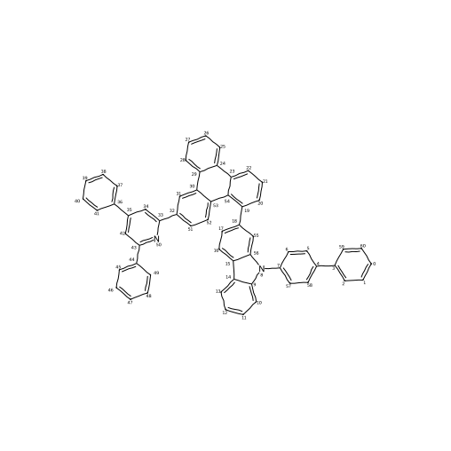 c1ccc(-c2ccc(-n3c4ccccc4c4ccc(-c5cccc6c7ccccc7c7cc(-c8cc(-c9ccccc9)cc(-c9ccccc9)n8)ccc7c56)cc43)cc2)cc1